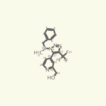 CB(Cc1ccccc1)n1nnc(C(F)(F)F)c1-c1ccnc(CO)c1